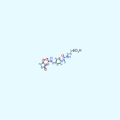 CN(C(=O)NCCCS(=O)(=O)O)c1ccc(CNC(=O)ON2C(=O)CCC2=O)cc1